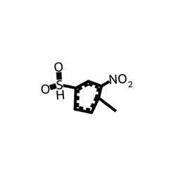 Cc1ccc([SH](=O)=O)cc1[N+](=O)[O-]